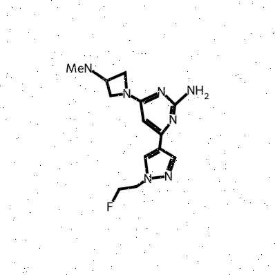 CNC1CN(c2cc(-c3cnn(CCF)c3)nc(N)n2)C1